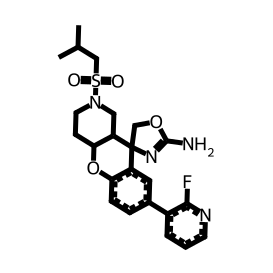 CC(C)CS(=O)(=O)N1CCC2Oc3ccc(-c4cccnc4F)cc3C3(COC(N)=N3)C2C1